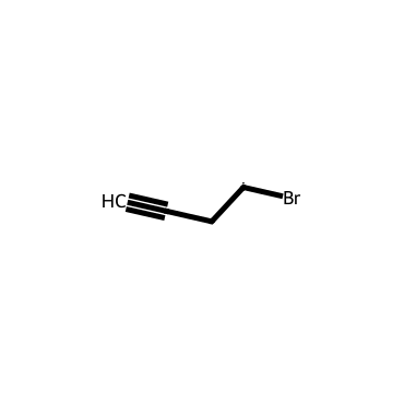 C#CC[CH]Br